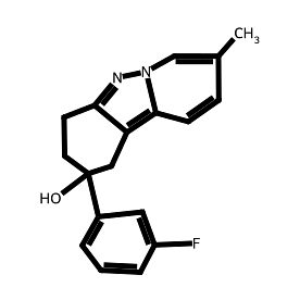 Cc1ccc2c3c(nn2c1)CCC(O)(c1cccc(F)c1)C3